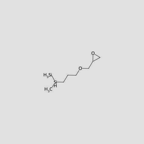 C[SiH]([SiH3])CCCOCC1CO1